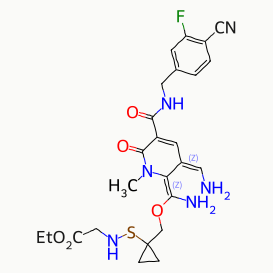 CCOC(=O)CNSC1(CO/C(N)=c2/c(=C\N)cc(C(=O)NCc3ccc(C#N)c(F)c3)c(=O)n2C)CC1